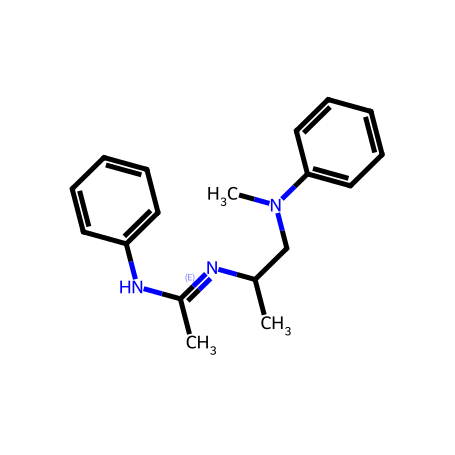 C/C(=N\C(C)CN(C)c1ccccc1)Nc1ccccc1